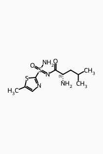 Cc1cnc(S(N)(=O)=NC(=O)[C@@H](N)CC(C)C)s1